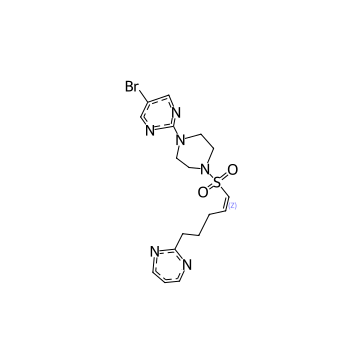 O=S(=O)(/C=C\CCCc1ncccn1)N1CCN(c2ncc(Br)cn2)CC1